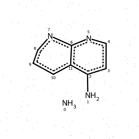 N.Nc1ccnc2ncccc12